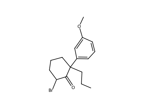 CCCC1(c2cccc(OC)c2)CCCC(Br)C1=O